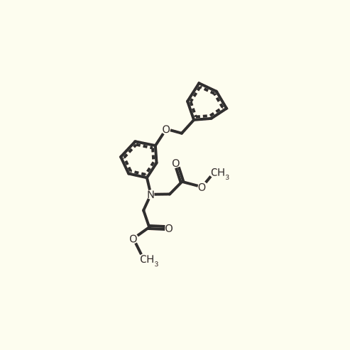 COC(=O)CN(CC(=O)OC)c1cccc(OCc2ccccc2)c1